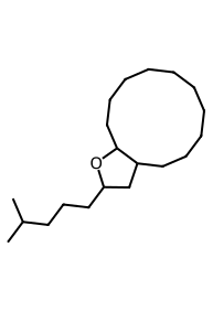 CC(C)CCCC1CC2CCCCCCCCCCC2O1